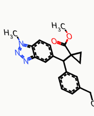 CCc1cccc(C(c2ccc3c(c2)nnn3C)C2(C(=O)OC)CC2)c1